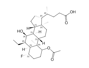 CC[C@H]1[C@@H](O)[C@H]2[C@@H]3CC[C@H]([C@H](C)CCC(=O)O)[C@@]3(C)CC[C@@H]2[C@@]2(C)C(OC(C)=O)CC[C@H](F)[C@@H]12